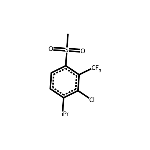 CC(C)c1ccc(S(C)(=O)=O)c(C(F)(F)F)c1Cl